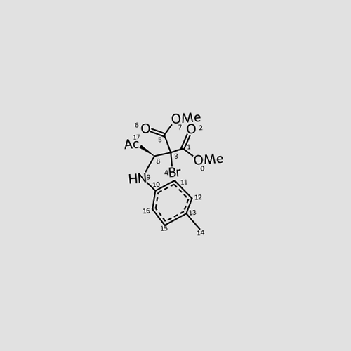 COC(=O)C(Br)(C(=O)OC)[C@@H](Nc1ccc(C)cc1)C(C)=O